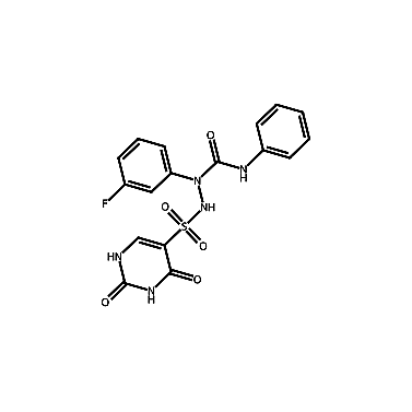 O=C(Nc1ccccc1)N(NS(=O)(=O)c1c[nH]c(=O)[nH]c1=O)c1cccc(F)c1